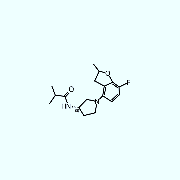 CC1Cc2c(N3CC[C@H](NC(=O)C(C)C)C3)ccc(F)c2O1